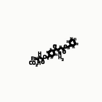 CCC(NC(=O)OCc1ccc(C(=O)[C@@H](N)CC(=O)OCc2ccccc2)cc1)C(=O)O